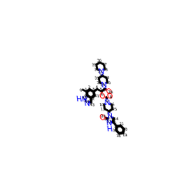 Cc1cc(CC(OC(=O)N2CCC(n3cc(-c4ccccc4)[nH]c3=O)CC2)C(=O)N2CCC(N3CCCCC3)CC2)cc2cn[nH]c12